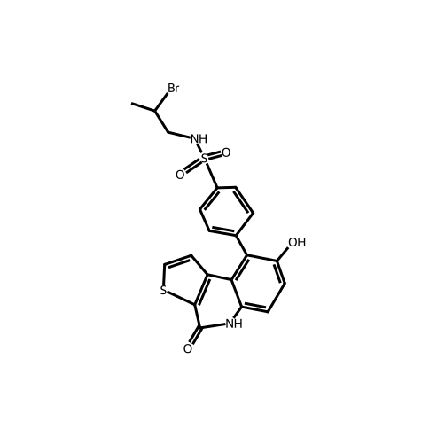 CC(Br)CNS(=O)(=O)c1ccc(-c2c(O)ccc3[nH]c(=O)c4sccc4c23)cc1